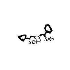 [SeH]C(COCC([SeH])c1ccccc1)c1ccccc1